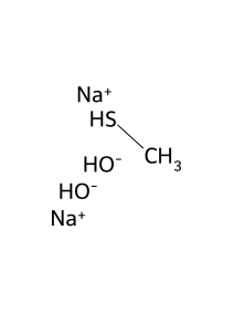 CS.[Na+].[Na+].[OH-].[OH-]